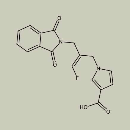 O=C(O)c1ccn(CC(=CF)CN2C(=O)c3ccccc3C2=O)c1